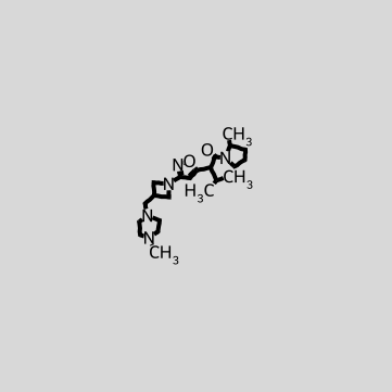 CC(C)C(C(=O)N1CCCC1C)c1cc(N2CC(CN3CCN(C)CC3)C2)no1